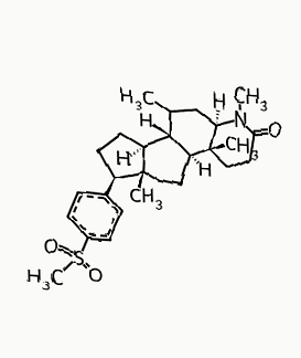 CC1C[C@H]2N(C)C(=O)CC[C@]2(C)[C@H]2CC[C@]3(C)[C@@H](c4ccc(S(C)(=O)=O)cc4)CC[C@H]3[C@H]12